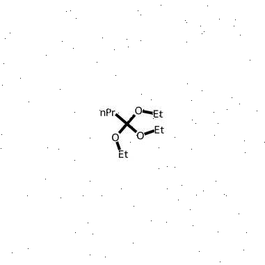 [CH2]CCC(OCC)(OCC)OCC